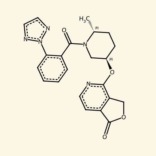 C[C@@H]1CC[C@@H](Oc2nccc3c2COC3=O)CN1C(=O)c1ccccc1-n1nccn1